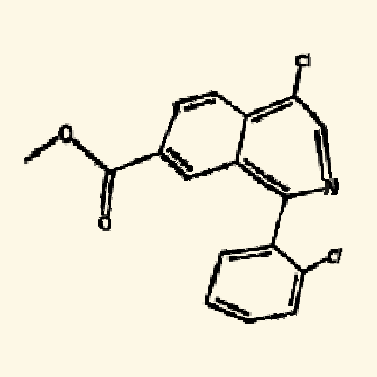 COC(=O)c1ccc2c(Cl)cnc(-c3ccccc3Cl)c2c1